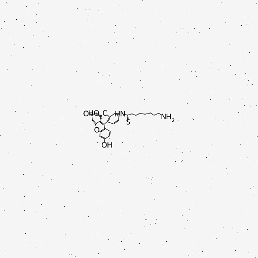 NCCCCCCCC(=S)Nc1ccc(-c2c3ccc(=O)cc-3oc3cc(O)ccc23)c(C(=O)O)c1